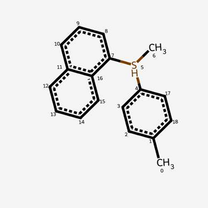 Cc1ccc([SH](C)c2cccc3ccccc23)cc1